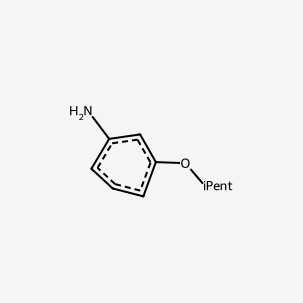 CCCC(C)Oc1cccc(N)c1